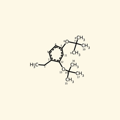 C[CH]c1ccc(OC(C)(C)C)cc1OC(C)(C)C